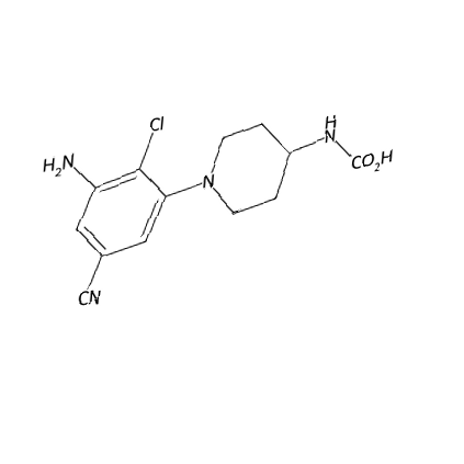 N#Cc1cc(N)c(Cl)c(N2CCC(NC(=O)O)CC2)c1